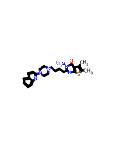 Cc1sc2nc(CCCCN3CCN(c4ccc5ccccc5n4)CC3)n(N)c(=O)c2c1C